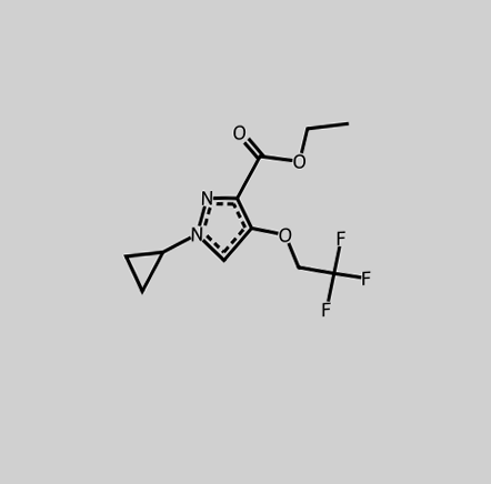 CCOC(=O)c1nn(C2CC2)cc1OCC(F)(F)F